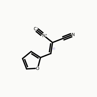 [C-]#[N+]/C(C#N)=C\c1ccco1